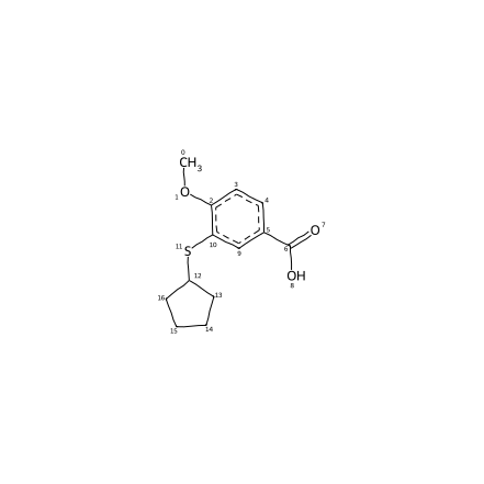 COc1ccc(C(=O)O)cc1SC1CCCC1